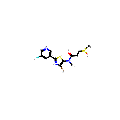 CN(C(=O)CC[S+](C)[O-])c1sc(-c2cncc(F)c2)nc1Br